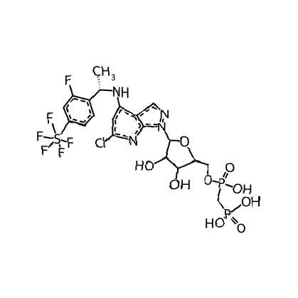 C[C@H](Nc1cc(Cl)nc2c1cnn2C1OC(COP(=O)(O)CP(=O)(O)O)C(O)C1O)c1ccc(S(F)(F)(F)(F)F)cc1F